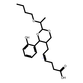 CCCCOC(C)C1OCC(C/C=C\CCC(=O)O)C(c2ccccc2O)O1